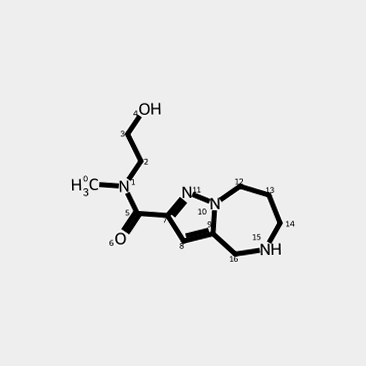 CN(CCO)C(=O)c1cc2n(n1)CCCNC2